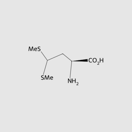 CSC(C[C@H](N)C(=O)O)SC